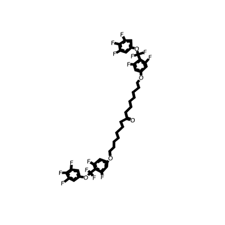 O=C(CCCCCCCOc1cc(F)c(C(F)(F)Oc2cc(F)c(F)c(F)c2)c(F)c1)CCCCCCCOc1cc(F)c(C(F)(F)Oc2cc(F)c(F)c(F)c2)c(F)c1